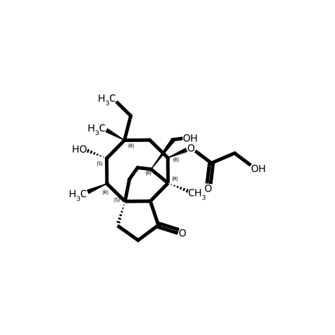 CC[C@]1(C)C[C@@H](OC(=O)CO)[C@@]2(C)C3C(=O)CC[C@@]3(CC[C@H]2CO)[C@@H](C)[C@@H]1O